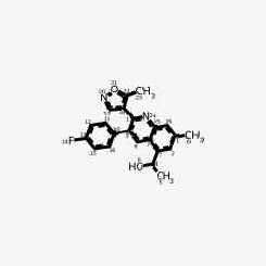 Cc1cc(C(C)O)c2cc(-c3ccc(F)cc3)c(-c3cnoc3C)nc2c1